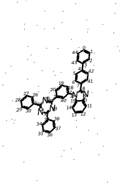 c1ccc(-c2ccc(-c3nc4ccccc4n3-c3cccc(-c4nc(-c5ccccc5)nc(-c5ccccc5)n4)c3)cc2)cc1